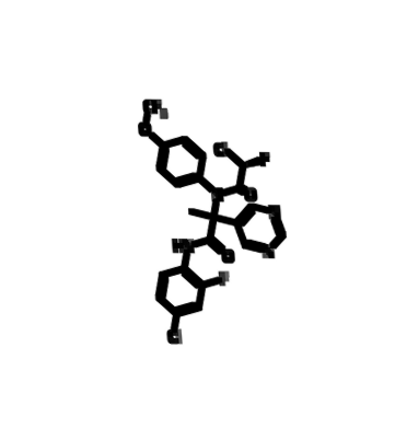 CC(C(=O)Nc1ccc(Cl)cc1F)(c1cncnc1)N(C(=O)[C@H](F)Cl)c1ccc(OC(F)(F)F)cc1